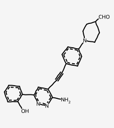 Nc1nnc(-c2ccccc2O)cc1C#Cc1ccc(N2CCC(C=O)CC2)cc1